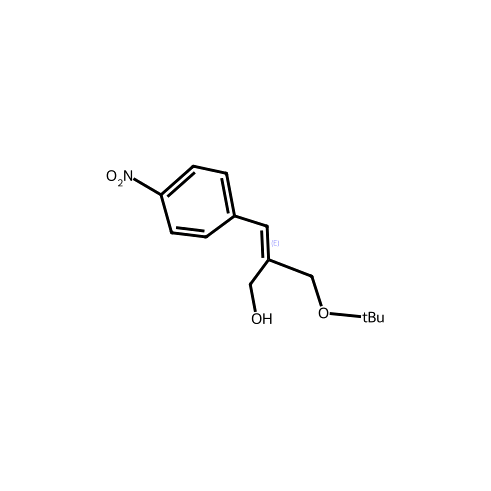 CC(C)(C)OC/C(=C/c1ccc([N+](=O)[O-])cc1)CO